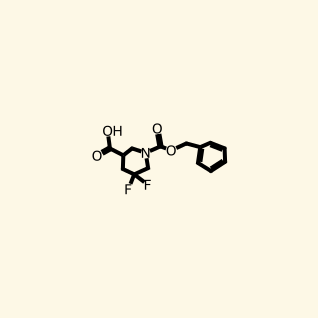 O=C(O)C1CN(C(=O)OCc2ccccc2)CC(F)(F)C1